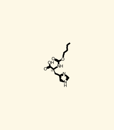 CCCCOC(=O)N[C@@H](Cc1c[nH]cn1)C(=O)O